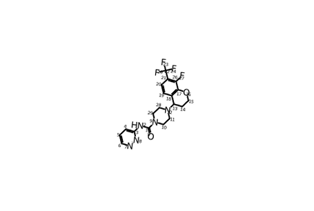 O=C(Nc1cccnn1)N1CCN(C2CCOc3c2ccc(C(F)(F)F)c3F)CC1